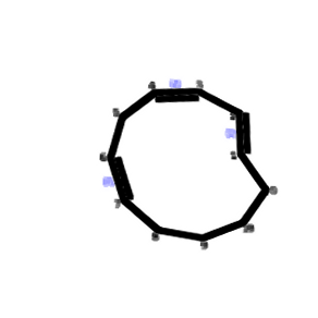 [CH]1/C=C/C=C\C/C=C\CCC1